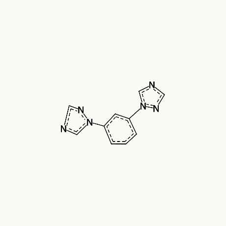 c1cc(-n2cncn2)cc(-n2cncn2)c1